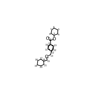 O=C(OC1CCCCC1)c1ccc(COCC2CCCCC2)cc1